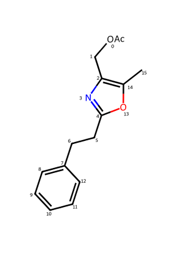 CC(=O)OCc1nc(CCc2ccccc2)oc1C